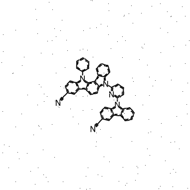 N#Cc1ccc2c(c1)c1ccccc1n2-c1cccc(-n2c3ccccc3c3c2ccc2c4cc(C#N)ccc4n(-c4ccccc4)c23)n1